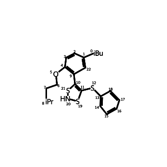 CCC(C)c1ccc(OCCC(C)C)c(C2=C(Sc3ccccc3)SNS2)c1